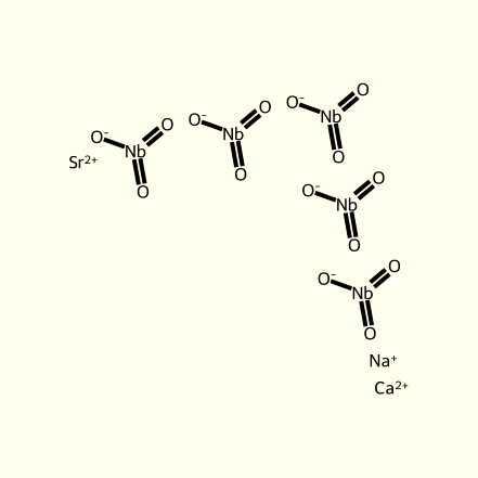 [Ca+2].[Na+].[O]=[Nb](=[O])[O-].[O]=[Nb](=[O])[O-].[O]=[Nb](=[O])[O-].[O]=[Nb](=[O])[O-].[O]=[Nb](=[O])[O-].[Sr+2]